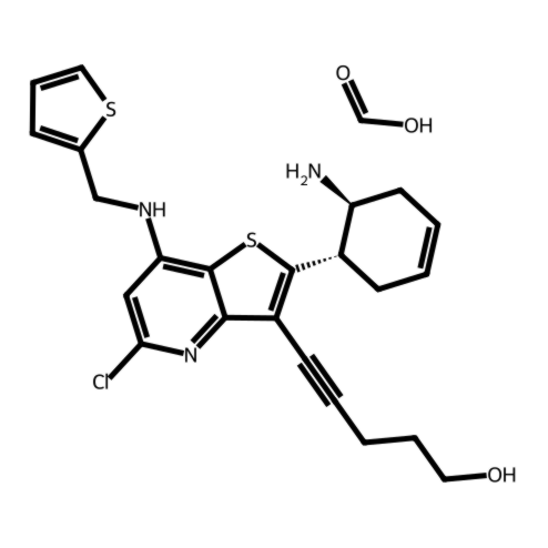 N[C@H]1CC=CC[C@@H]1c1sc2c(NCc3cccs3)cc(Cl)nc2c1C#CCCCO.O=CO